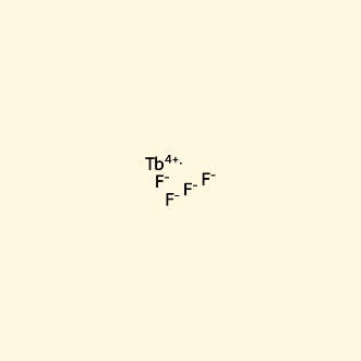 [F-].[F-].[F-].[F-].[Tb+4]